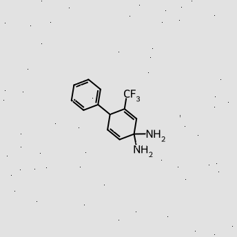 NC1(N)C=CC(c2ccccc2)C(C(F)(F)F)=C1